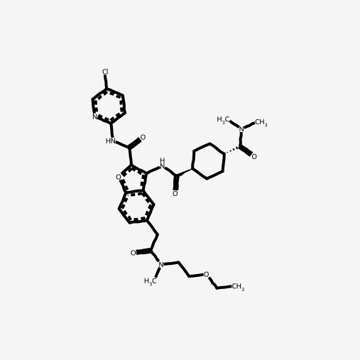 CCOCCN(C)C(=O)Cc1ccc2oc(C(=O)Nc3ccc(Cl)cn3)c(NC(=O)[C@H]3CC[C@H](C(=O)N(C)C)CC3)c2c1